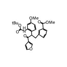 COC(=O)c1cccc(CC(C(=O)c2ccoc2)c2ccc(OC)cc2NC(=O)OC(C)(C)C)c1